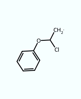 [CH2]C(Cl)Oc1ccccc1